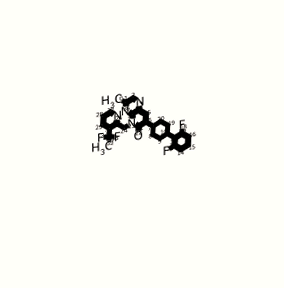 Cc1cnc2cc(C3CCC(c4c(F)cccc4F)CC3)c(=O)n(Cc3ncccc3C(C)(F)F)c2n1